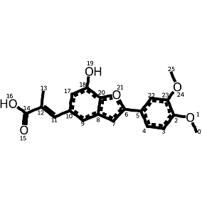 COc1ccc(-c2cc3cc(/C=C(\C)C(=O)O)cc(O)c3o2)cc1OC